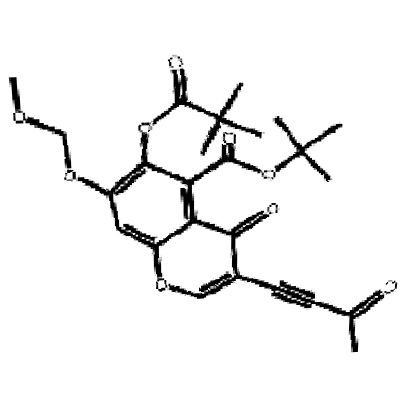 COCOc1cc2occ(C#CC(C)=O)c(=O)c2c(C(=O)OC(C)(C)C)c1OC(=O)C(C)(C)C